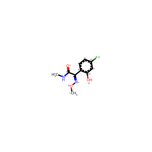 CNC(=O)C(=NOC)c1ccc(F)cc1O